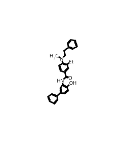 CCc1cc(C(=O)Nc2cc(-c3ccccc3)ccc2O)ccc1N(C)CCc1ccccc1